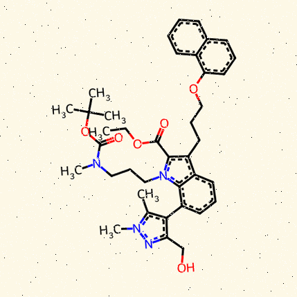 CCOC(=O)c1c(CCCOc2cccc3ccccc23)c2cccc(-c3c(CO)nn(C)c3C)c2n1CCCN(C)C(=O)OC(C)(C)C